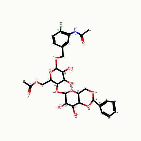 CC(=O)Nc1cc(COC2OC(COC(C)=O)C(OC3OC4COC(c5ccccc5)OC4C(O)C3O)C(O)C2O)ccc1Cl